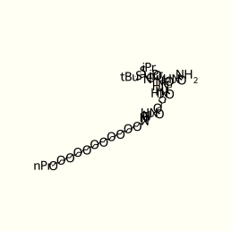 CCCOCCOCCOCCOCCOCCOCCOCCOCCOCCOCCOCCn1cc(CNC(=O)OCc2ccc(NC(=O)[C@H](CCCNC(N)=O)NC(=O)[C@H](CC(C)C)NC(=O)CO/N=C(\CSC(C)C)CSC(C)(C)C)cc2)nn1